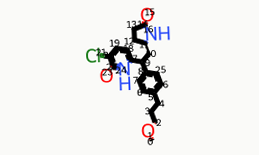 COCCCc1ccc(C(C[C@H]2CCC(=O)N2)c2ccc(Cl)c(=O)[nH]2)cc1